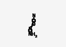 N#Cc1ccc(OCCCN2CCC(N)CC2)cc1